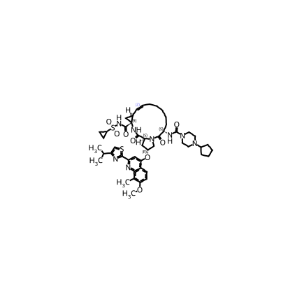 COc1ccc2c(O[C@@H]3C[C@H]4C(=O)N[C@]5(C(=O)NS(=O)(=O)C6CC6)C[C@H]5/C=C\CCCCC[C@H](NC(=O)N5CCN(C6CCCC6)CC5)C(=O)N4C3)cc(-c3nc(C(C)C)cs3)nc2c1C